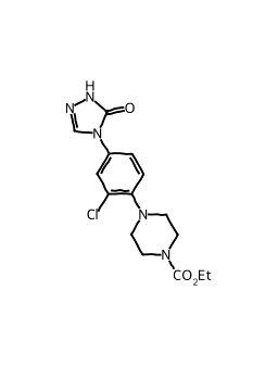 CCOC(=O)N1CCN(c2ccc(-n3cn[nH]c3=O)cc2Cl)CC1